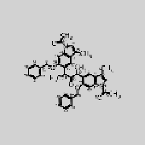 CC(=O)n1cc(C)c2cc(C(C)C(=O)C(C)c3cc4c(C)cn(C(C)=O)c4cc3OCc3ccccc3)c(OCc3ccccc3)cc21